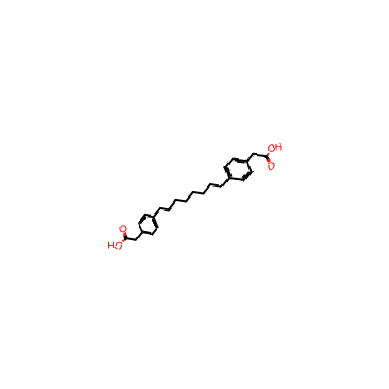 O=C(O)Cc1ccc(CCCCCCCCc2ccc(CC(=O)O)cc2)cc1